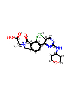 C[C@H](C(=O)O)N1Cc2ccc(-c3nc(NC4CCOCC4)ncc3Cl)c(F)c2C1=O